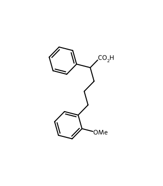 COc1ccccc1CCCC(C(=O)O)c1ccccc1